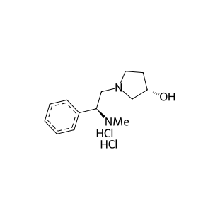 CN[C@H](CN1CC[C@H](O)C1)c1ccccc1.Cl.Cl